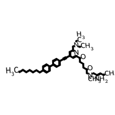 C=C/C=C(\N)CN(C)CC(=O)CCCC(=O)c1cc(C#Cc2ccc(-c3ccc(CCCCCCCC)cc3)cc2)cc(CN(CC)CC)n1